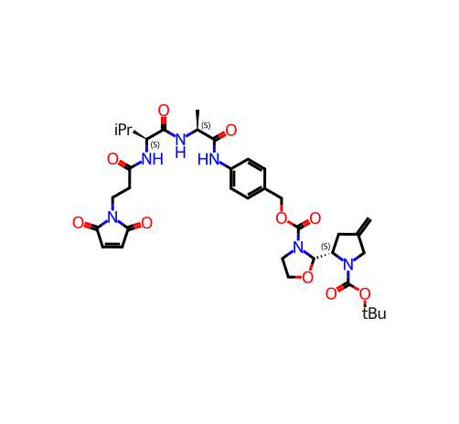 C=C1C[C@@H](C2OCCN2C(=O)OCc2ccc(NC(=O)[C@H](C)NC(=O)[C@@H](NC(=O)CCN3C(=O)C=CC3=O)C(C)C)cc2)N(C(=O)OC(C)(C)C)C1